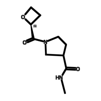 CNC(=O)C1CCN(C(=O)[C@@H]2CCO2)C1